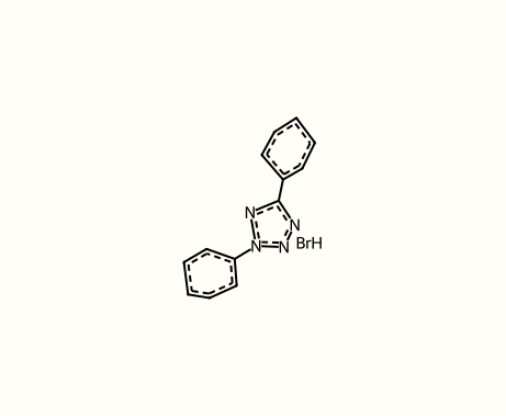 Br.c1ccc(-c2nnn(-c3ccccc3)n2)cc1